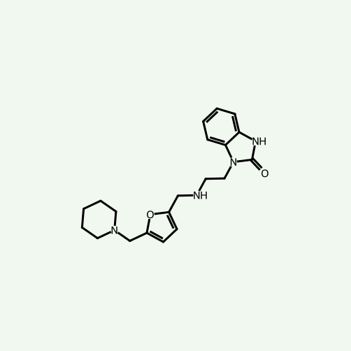 O=c1[nH]c2ccccc2n1CCNCc1ccc(CN2CCCCC2)o1